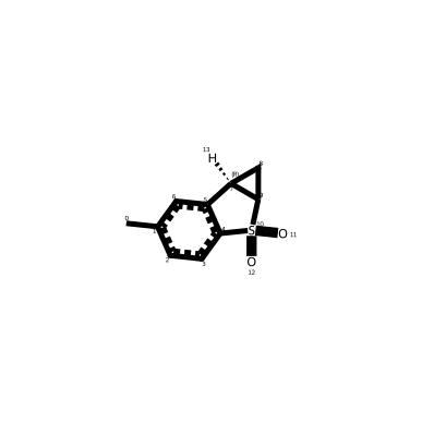 Cc1ccc2c(c1)[C@H]1CC1S2(=O)=O